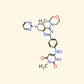 CC1COCCN1c1nc(-c2ccc(Nc3cc(=O)n(C)c(=O)[nH]3)cc2)nc2c1CCN(c1ncccn1)C2